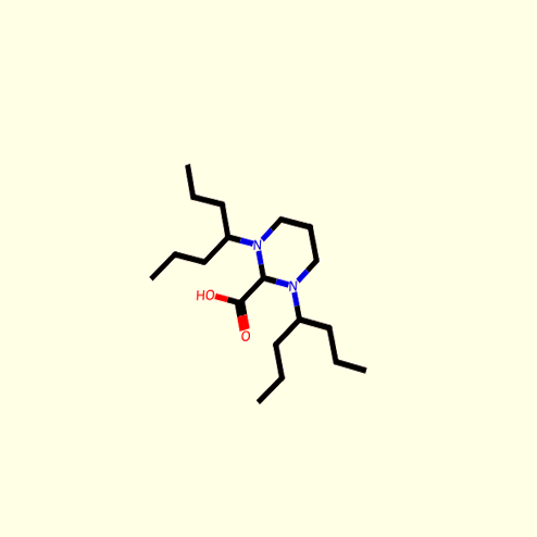 CCCC(CCC)N1CCCN(C(CCC)CCC)C1C(=O)O